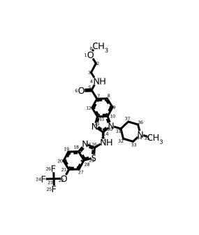 COCCNC(=O)c1ccc2c(c1)nc(Nc1nc3ccc(OC(F)(F)F)cc3s1)n2C1CCN(C)CC1